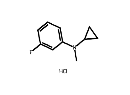 CN(c1cccc(F)c1)C1CC1.Cl